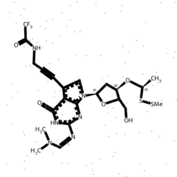 CSS[C@H](C)O[C@@H]1C[C@H](n2cc(C#CCNC(=O)C(F)(F)F)c3c(=O)[nH]c(/N=C\N(C)C)nc32)OC1CO